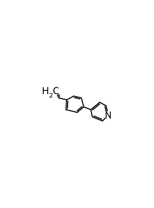 C=Cc1ccc(-c2ccncc2)cc1